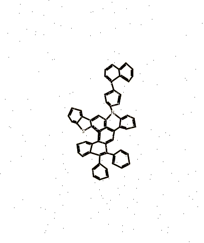 c1ccc(-c2c(-c3ccccc3)c3cc(-c4ccccc4N(c4ccc(-c5cccc6ccccc56)cc4)c4ccc5sc6ccccc6c5c4)ccc3c3ccccc23)cc1